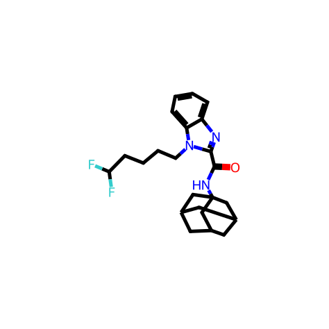 O=C(NC12CC3CC(CC(C3)C1)C2)c1nc2ccccc2n1CCCCC(F)F